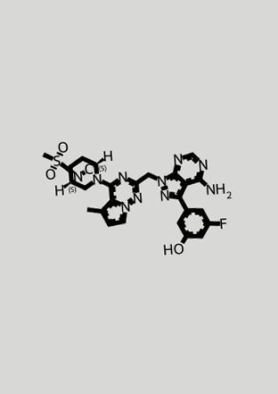 Cc1ccn2nc(Cn3nc(-c4cc(O)cc(F)c4)c4c(N)ncnc43)nc(N3C[C@@H]4CC[C@H]3CN4S(C)(=O)=O)c12